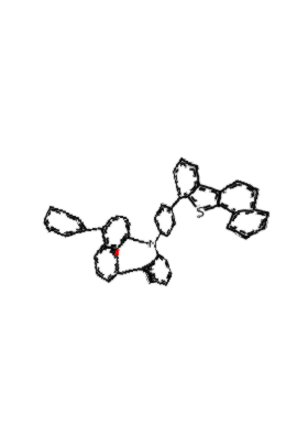 c1ccc(-c2ccc(N(c3ccc(-c4cccc5c4sc4c6ccccc6ccc54)cc3)c3ccccc3-c3ccccc3)cc2)cc1